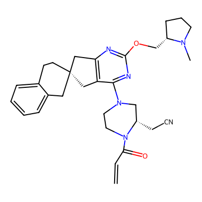 C=CC(=O)N1CCN(c2nc(OC[C@@H]3CCCN3C)nc3c2C[C@]2(CCc4ccccc4C2)C3)C[C@@H]1CC#N